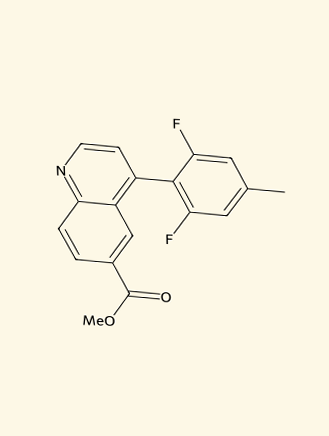 COC(=O)c1ccc2nccc(-c3c(F)cc(C)cc3F)c2c1